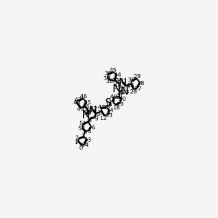 c1ccc(-c2ccc(-c3cc(-c4cccc(Sc5cccc(-c6nc(-c7ccccc7)nc(-c7ccccc7)n6)c5)c4)nc(-c4ccccc4)n3)cc2)cc1